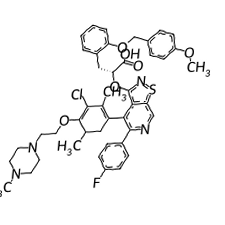 COc1ccc(COc2ccccc2C[C@@H](Oc2nsc3cnc(-c4ccc(F)cc4)c(C4=C(C)C(Cl)=C(OCCN5CCN(C)CC5)C(C)C4)c23)C(=O)O)cc1